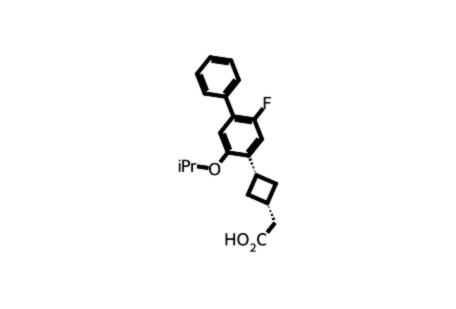 CC(C)Oc1cc(-c2ccccc2)c(F)cc1[C@H]1C[C@@H](CC(=O)O)C1